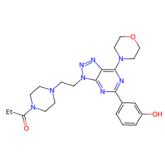 CCC(=O)N1CCN(CCn2nnc3c(N4CCOCC4)nc(-c4cccc(O)c4)nc32)CC1